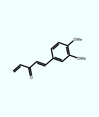 C=CC(=O)C=Cc1ccc(OC)c(OC)c1